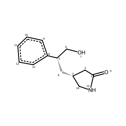 O=C1C[C@@H](C[C@@H](CO)c2ccccc2)CN1